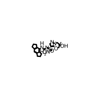 C[C@@]1(O)COc2c([S@@](N)(=O)=NC(=O)Nc3c4c(cc5c3CCC5)CCC4)cnn2C1